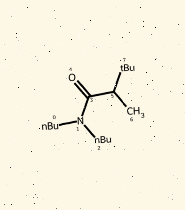 CCCCN(CCCC)C(=O)C(C)C(C)(C)C